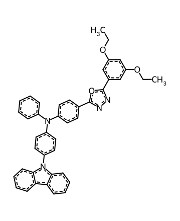 CCOc1cc(OCC)cc(-c2nnc(-c3ccc(N(c4ccccc4)c4ccc(-n5c6ccccc6c6ccccc65)cc4)cc3)o2)c1